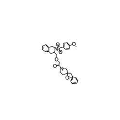 COc1ccc(S(=O)(=O)N2Cc3ccccc3CC2COCC(=O)N2CCC(O)(Cc3ccccc3)CC2)cc1